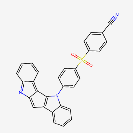 N#Cc1ccc(S(=O)(=O)c2ccc(-n3c4c(c5ccccc53)C=C3N=c5ccccc5=C34)cc2)cc1